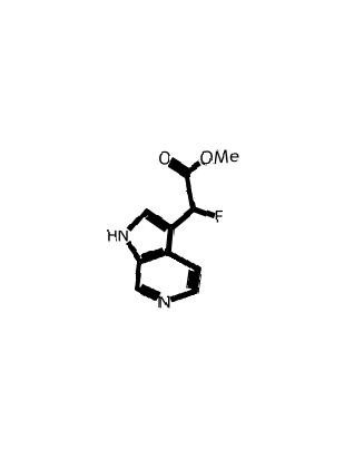 COC(=O)C(F)c1c[nH]c2cnccc12